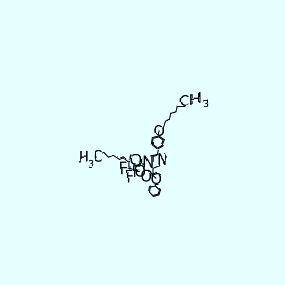 CCCCCCCCOc1ccc(C2=CN(C(=O)OC(CCCCCC)C(F)(F)F)C(C(=O)Oc3ccccc3)C=N2)cc1